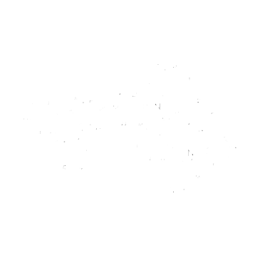 c1ccc(N(c2ccccc2)c2c3c(c(N(c4ccccc4)c4ccc(-c5ccc6c7ccccc7c7ccccc7c6c5)cc4)c4c2CCCC4)CCCC3)cc1